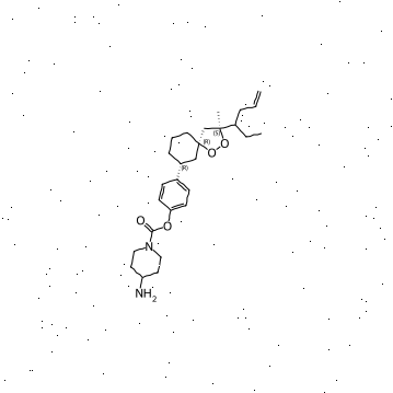 C=CCC(CC)[C@]1(C)C[C@]2(CCC[C@@H](c3ccc(OC(=O)N4CCC(N)CC4)cc3)C2)OO1